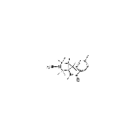 Cc1ccc(C(=O)N(C)[C@@]23C(C)(C)N(C#N)C(C)(C)[C@]2(C)C3(C)C)cc1